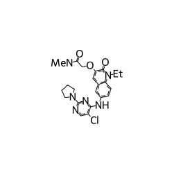 CCn1c(=O)c(OCC(=O)NC)cc2cc(Nc3nc(N4CCCC4)ncc3Cl)ccc21